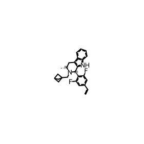 C=Cc1cc(F)c([C@@H]2c3[nH]c4ccccc4c3C[C@@H](C)N2CC23CC(C2)C3)c(F)c1